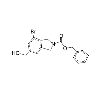 O=C(OCc1ccccc1)N1Cc2cc(CO)cc(Br)c2C1